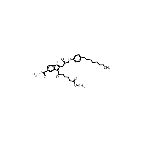 CCCCCCCCc1ccc(OCC(=O)Cc2[nH]c3ccc(C(=O)OC)cc3c2C(=O)CCCCC(=O)OC)cc1